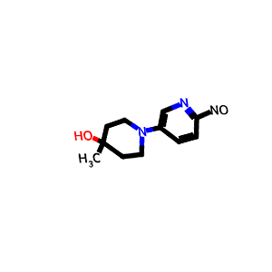 CC1(O)CCN(c2ccc(N=O)nc2)CC1